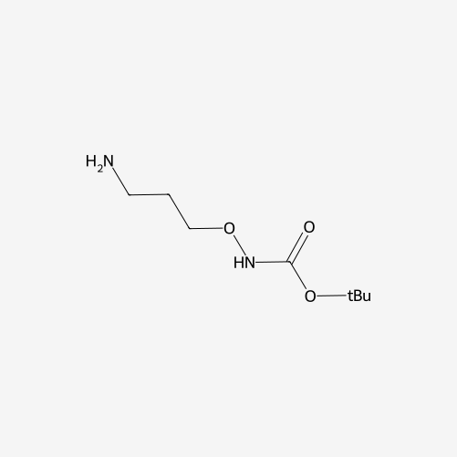 CC(C)(C)OC(=O)NOCCCN